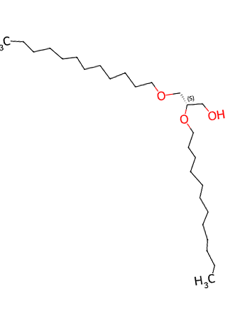 CCCCCCCCCCCCOC[C@H](CO)OCCCCCCCCCCCC